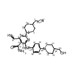 N#CCC1CCN(c2nc(C=N)c(C(N)=O)c(Nc3ccc(N4CCC(CO)CC4)cc3)n2)CC1